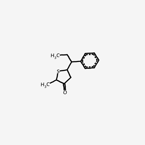 CCC(c1ccccc1)C1CC(=O)C(C)S1